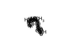 CCC12CNc3nnc(-c4cccc(F)c4O)cc3N1CCN(C(=O)N1CCN(CC3CCN(c4ccc5c(c4)C(=O)N(C4CCC(=O)NC4=O)C5=O)CC3)CC1(C)C)C2